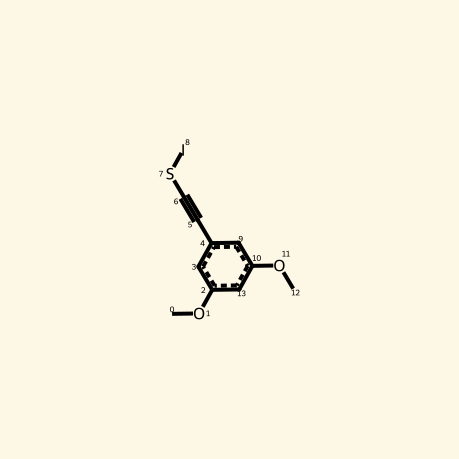 COc1cc(C#CSI)cc(OC)c1